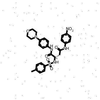 Cc1ccc(S(=O)(=O)N[C@@H](CC(=O)Nc2ccc([N+](=O)[O-])cc2)C(=O)Nc2ccc(N3CCOCC3)cc2)cc1